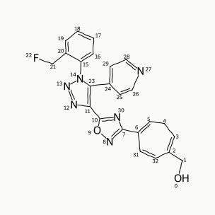 OCC1=CCC=C(c2noc(-c3nnn(-c4ccccc4CF)c3-c3ccncc3)n2)C=C1